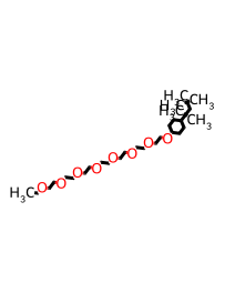 CCOCCOCCOCCOCCOCCOCCOCCOC1CCC(C(C)(C)CC(C)(C)C)CC1